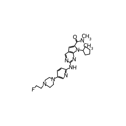 CN(C)C(=O)c1cc2cnc(Nc3ccc(N4CCN(CCF)CC4)cn3)nc2n1C1CCCC1